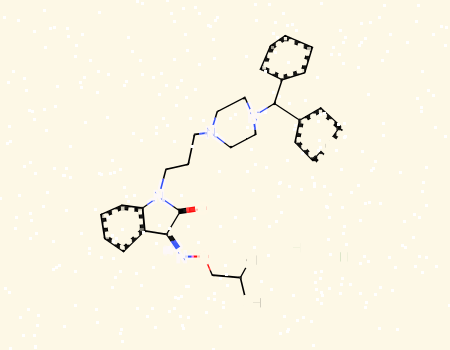 CC(C)CO/N=C1\C(=O)N(CCCN2CCN(C(c3ccccc3)c3ccccc3)CC2)c2ccccc21.Cl.Cl